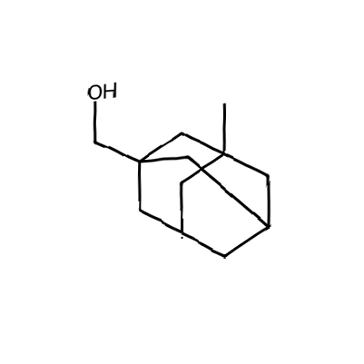 CC12C[C]3CC(C1)CC(CO)(C3)C2